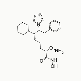 NOC(CCC=C(C1CCCCC1)C(Cc1ccccc1)n1ccnc1)C(=O)NO